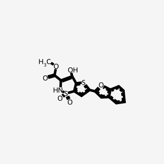 COC(=O)C1=C(O)c2sc(-c3cc4ccccc4o3)cc2S(=O)(=O)N1